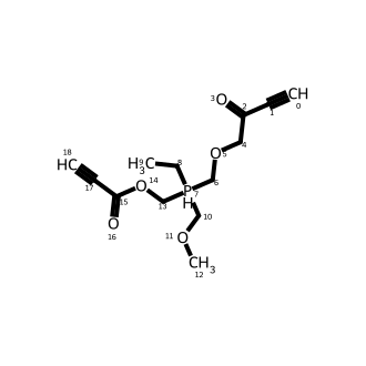 C#CC(=O)COC[PH](CC)(COC)COC(=O)C#C